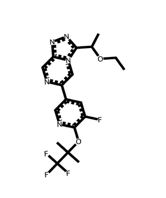 CCOC(C)c1nnc2cnc(-c3cnc(OC(C)(C)C(F)(F)F)c(F)c3)cn12